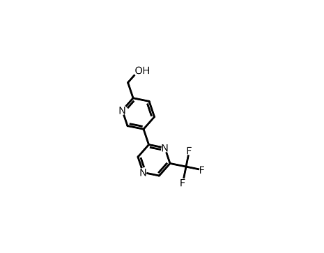 OCc1ccc(-c2cncc(C(F)(F)F)n2)cn1